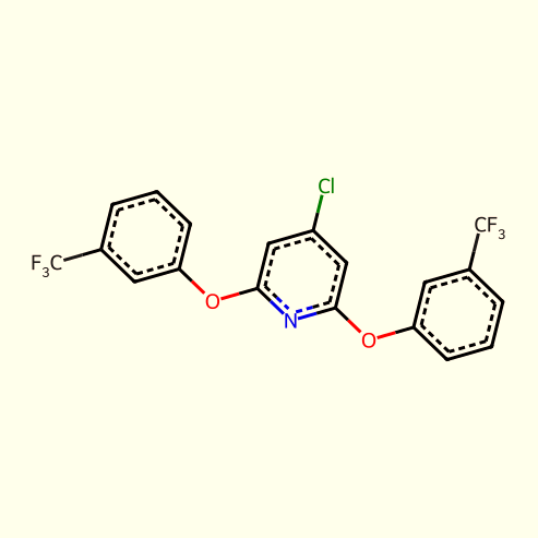 FC(F)(F)c1cccc(Oc2cc(Cl)cc(Oc3cccc(C(F)(F)F)c3)n2)c1